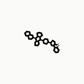 c1ccc2cc(-c3c4ccccc4c(-c4ccc(-c5ccc6sc7ccccc7c6c5)cc4)c4ccccc34)ccc2c1